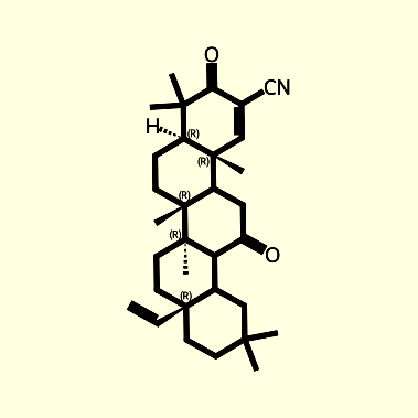 C=C[C@]12CCC(C)(C)CC1C1C(=O)CC3[C@@]4(C)C=C(C#N)C(=O)C(C)(C)[C@@H]4CC[C@@]3(C)[C@]1(C)CC2